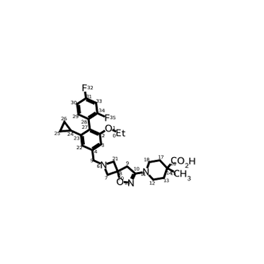 CCOc1cc(CN2CC3(CC(N4CCC(C)(C(=O)O)CC4)=NO3)C2)cc(C2CC2)c1-c1ccc(F)cc1F